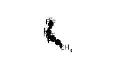 CCCc1ccc(-c2cc(F)c(C(F)(F)Oc3ccc(CCc4cc(F)c(F)c(F)c4)c(F)c3F)c(F)c2)cc1